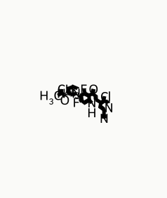 CN(C)C(=O)[C@@H]1CCCN(c2c(F)cc3[nH]c(-c4cc(C#N)ncc4Cl)cc(=O)c3c2F)C1